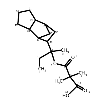 CCC(C)(OC(=O)C(C)(C)C(=O)O)C1CC2CC1C1CCCC21